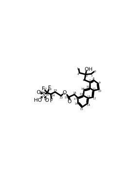 CCC(O)(CC)Cc1cccc2cc3cccc(CC(=O)OCCC(F)C(F)(F)S(=O)(=O)O)c3cc12